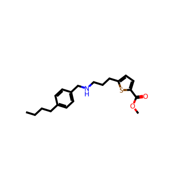 CCCCc1ccc(CNCCCc2ccc(C(=O)OC)s2)cc1